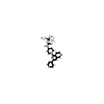 CC(C)(C)OC(=O)NC1CCN(c2nc(-c3ccncc3)cc3cnccc23)CC1